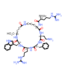 CC(=O)N[C@@H](CCCNC(=N)N)C(=O)N[C@H]1CCCNC(=O)CC[C@@H](C(=O)O)NC(=O)[C@H](Cc2c[nH]c3ccccc23)NC(=O)[C@H](CCCNC(=N)N)NC(=O)[C@@H](Cc2ccccc2)NC(=O)[C@H](CCN)NC1=O